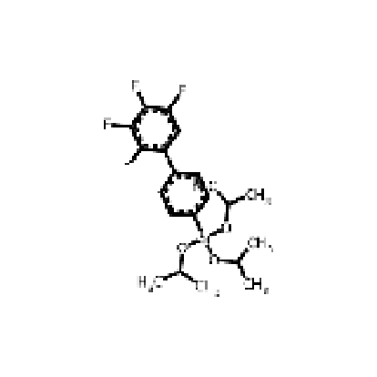 CC(C)O[Si](OC(C)C)(OC(C)C)c1ccc(-c2cc(F)c(F)c(F)c2F)cc1